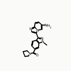 Cn1nc(-c2cnc3ccc(N)cn23)c2ccc(C(=O)N3CCCC3)cc21